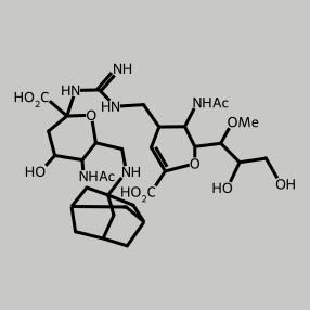 COC(C(O)CO)C1OC(C(=O)O)=CC(CNC(=N)NC2(C(=O)O)CC(O)C(NC(C)=O)C(CNC34CC5CC(CC(C5)C3)C4)O2)C1NC(C)=O